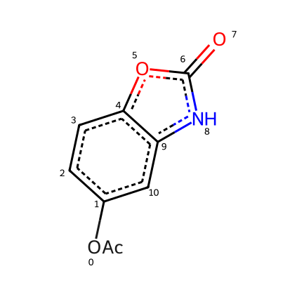 CC(=O)Oc1ccc2oc(=O)[nH]c2c1